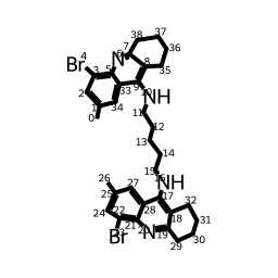 Cc1cc(Br)c2nc3c(c(NCCCCCNc4c5c(nc6c(Br)cc(C)cc46)CCCC5)c2c1)CCCC3